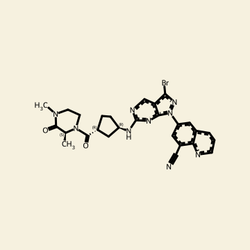 C[C@H]1C(=O)N(C)CCN1C(=O)[C@@H]1CC[C@@H](Nc2ncc3c(Br)nn(-c4cc(C#N)c5ncccc5c4)c3n2)C1